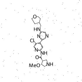 CO[C@H]1CNC[C@@H]1C(=O)Nc1cc(-c2cncc(NCC3CCOCC3)n2)c(Cl)cn1